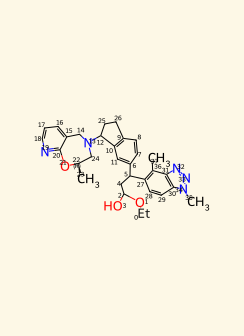 CCOC(O)CC(c1ccc2c(c1)C(N1Cc3cccnc3O[C@H](C)C1)CC2)c1ccc2c(nnn2C)c1C